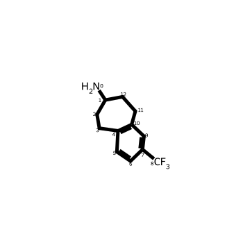 NC1CCc2ccc(C(F)(F)F)cc2CC1